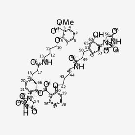 COC(=O)c1ccccc1OCCCCNC(=O)CCc1ccc(N2CC(=O)NS2(=O)=O)c(OC(=O)c2ccccc2OCCCCNC(=O)CCc2ccc(N3CC(=O)NS3(=O)=O)c(O)c2)c1